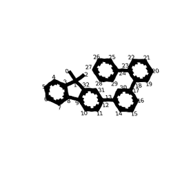 CC1(C)c2ccccc2-c2ccc(-c3cccc(-c4ccccc4-c4ccccc4)c3)cc21